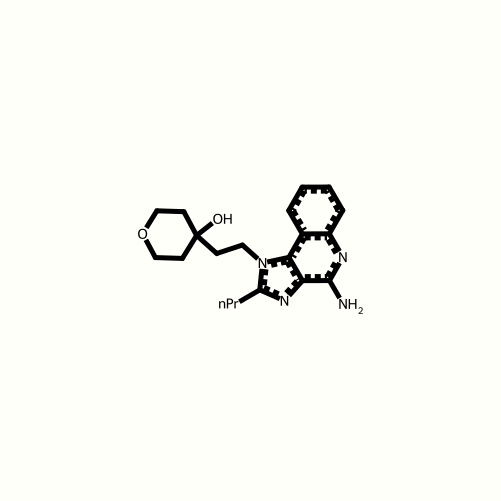 CCCc1nc2c(N)nc3ccccc3c2n1CCC1(O)CCOCC1